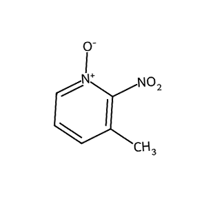 Cc1ccc[n+]([O-])c1[N+](=O)[O-]